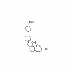 COc1ccc(C2CCN(Cc3ccc4c(c3O)ON=C(O)C=C4)CC2)cc1